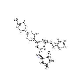 CCN1CCC(N2CCN(c3nc(/C=C4/SC(=O)NC4=O)cc(OCc4ccco4)n3)CC2)CC1